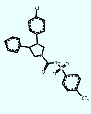 O=C(NS(=O)(=O)c1ccc(C(F)(F)F)cc1)N1CC(c2ccccc2)C(c2ccc(Cl)cc2)C1